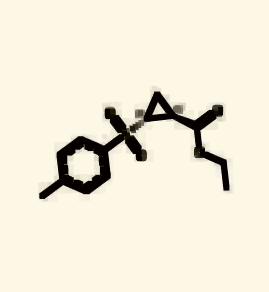 CCOC(=O)[C@@H]1C[C@H]1S(=O)(=O)c1ccc(C)cc1